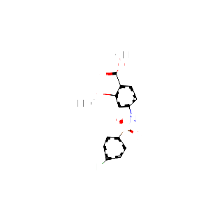 COC(=O)c1ccc(NS(=O)(=O)c2ccc(F)cc2)cc1OC